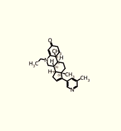 CCN1C[C@@H]2[C@H](CC[C@]3(C)C(c4cncc(C)c4)=CC[C@@H]23)[C@@]2(C)CCC(=O)C=C12